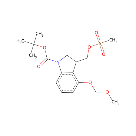 COCOc1cccc2c1C(COS(C)(=O)=O)CN2C(=O)OC(C)(C)C